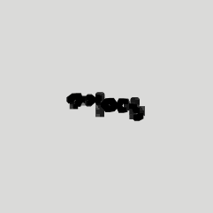 O=C(Nc1ccc(C2CCN(C(=O)c3nccs3)CC2)cc1)C1CN(c2cccnc2)C1